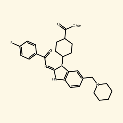 COC(=O)C1CCC(n2/c(=N\C(=O)c3ccc(F)cc3)[nH]c3ccc(CN4CCCCC4)cc32)CC1